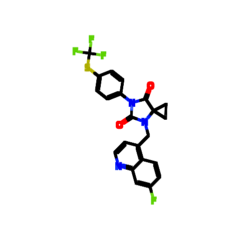 O=C1N(c2ccc(SC(F)(F)F)cc2)C(=O)C2(CC2)N1Cc1ccnc2cc(F)ccc12